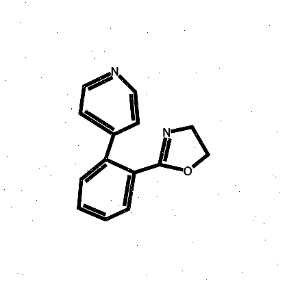 c1ccc(-c2ccncc2)c(C2=NCCO2)c1